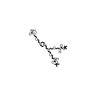 CC(C)(C)OC(=O)NCCOCCN(CCOCCNC(=O)OC(C)(C)C)CCN1CCN(CCOCCOC(N)=O)CC1